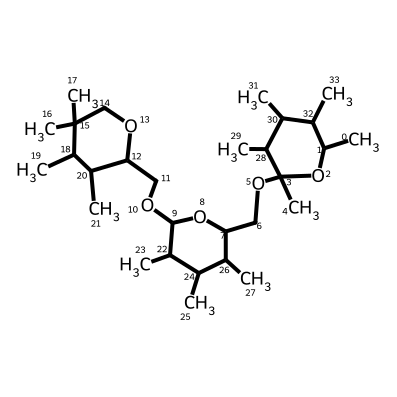 CC1OC(C)(OCC2OC(OCC3OCC(C)(C)C(C)C3C)C(C)C(C)C2C)C(C)C(C)C1C